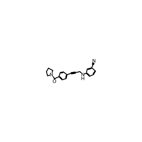 N#Cc1cccc(NCC#Cc2ccc(C(=O)N3CCCC3)cc2)c1